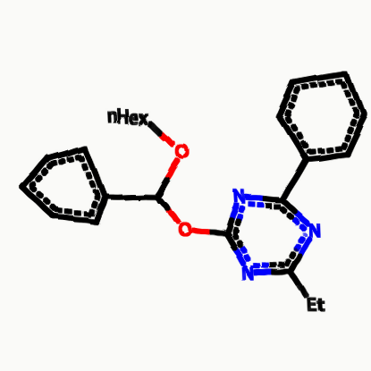 CCCCCCOC(Oc1nc(CC)nc(-c2ccccc2)n1)c1ccccc1